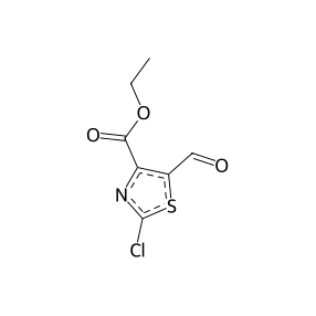 CCOC(=O)c1nc(Cl)sc1C=O